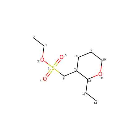 CCOS(=O)(=O)CC1CCCOC1CC